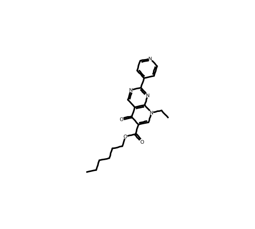 CCCCCCOC(=O)c1cn(CC)c2nc(-c3ccncc3)ncc2c1=O